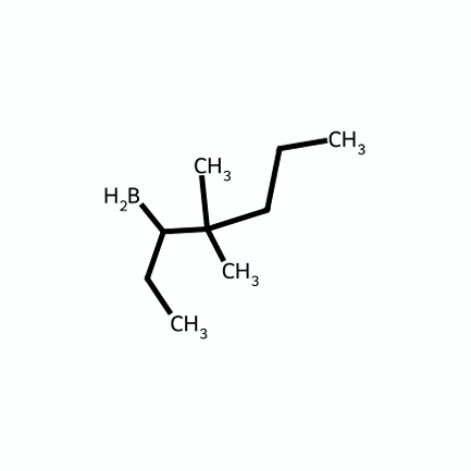 BC(CC)C(C)(C)CCC